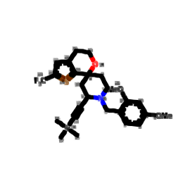 COc1ccc(CN2CCC3(CC2C#C[Si](C)(C)C)OCCc2cc(C(F)(F)F)sc23)c(OC)c1